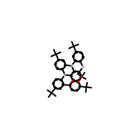 CC(C)(C)c1ccc2c(c1)B1c3cc(C(C)(C)C)ccc3N(c3ccc(C(C)(C)C)cc3-c3ccc(C(C)(C)C)c(C(C)(C)C)c3)c3cccc(c31)O2